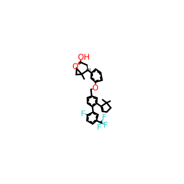 CC1(C)CCC=C1c1cc(COc2cccc([C@H](CC(=O)O)C3(C)CC3)c2)ccc1-c1cc(C(F)(F)F)ccc1F